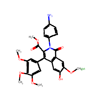 COC(=O)c1c(-c2cc(OC)c(OC)c(OC)c2)c2cc(O)c(OC)cc2c(=O)n1-c1ccc(N)cc1.Cl